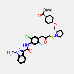 COC(=O)[C@H]1CC[C@H](OC[C@@H]2CCCN2SCC(=O)Cc2cc(Cl)c(NC(=O)c3nn(C)c4ccccc34)cc2F)CC1